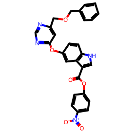 O=C(Oc1ccc([N+](=O)[O-])cc1)c1c[nH]c2ccc(Oc3cc(COCc4ccccc4)ncn3)cc12